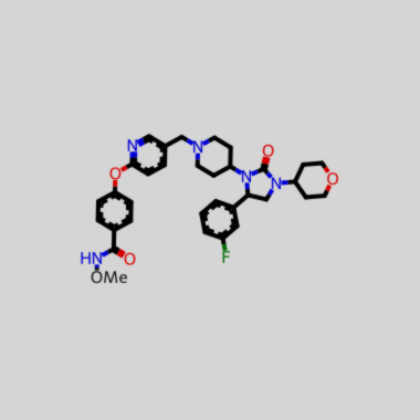 CONC(=O)c1ccc(Oc2ccc(CN3CCC(N4C(=O)N(C5CCOCC5)CC4c4cccc(F)c4)CC3)cn2)cc1